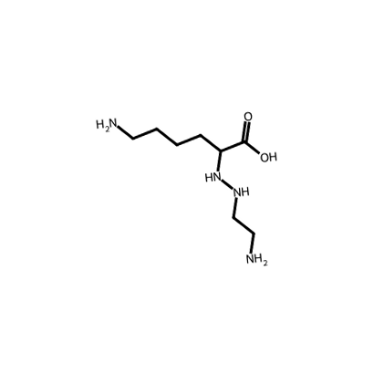 NCCCCC(NNCCN)C(=O)O